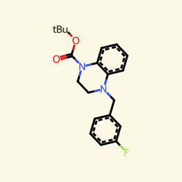 CC(C)(C)OC(=O)N1CCN(Cc2cccc(F)c2)c2ccccc21